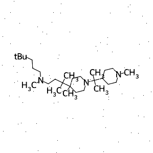 CN1CCC(C(C)(C)N2CCC(C)(C(C)(C)CCN(C)CCCC(C)(C)C)CC2)CC1